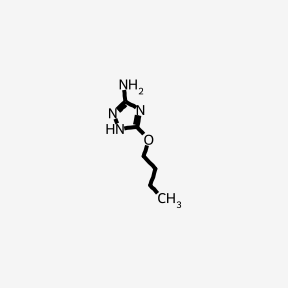 CCCCOc1nc(N)n[nH]1